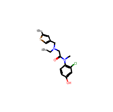 CN(C(=O)CN(Cc1csc(C(C)(C)C)c1)CC(C)(C)C)c1ccc(O)cc1Cl